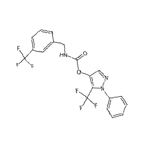 O=C(NCc1cccc(C(F)(F)F)c1)Oc1cnn(-c2ccccc2)c1C(F)(F)F